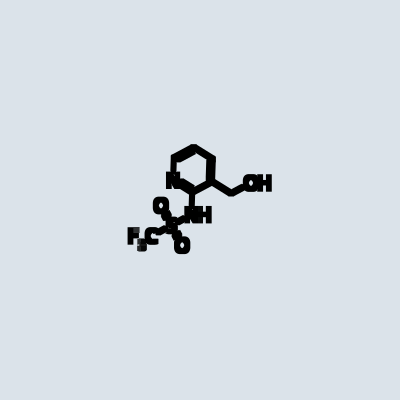 O=S(=O)(Nc1ncccc1CO)C(F)(F)F